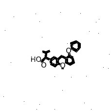 COc1ccc(C(C(=O)O)C(C)C)cc1Cc1ccccc1Oc1ccccc1